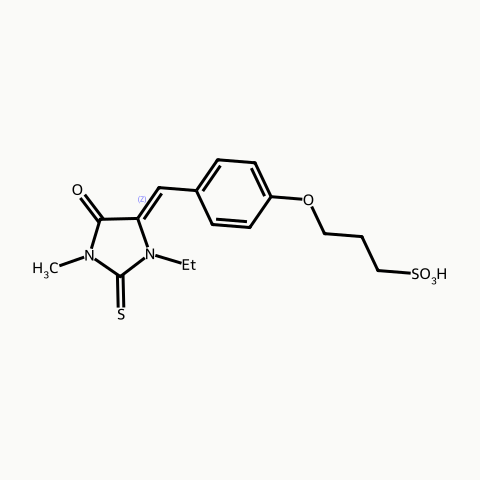 CCN1C(=S)N(C)C(=O)/C1=C/c1ccc(OCCCS(=O)(=O)O)cc1